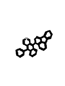 c1ccc(-c2c3ccccc3c(-c3ccc4c5c(cccc35)-c3ccccc3-4)c3cnccc23)cc1